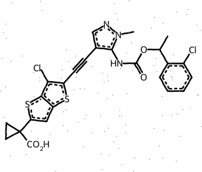 CC(OC(=O)Nc1c(C#Cc2sc3cc(C4(C(=O)O)CC4)sc3c2Cl)cnn1C)c1ccccc1Cl